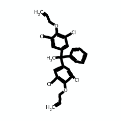 C=CCOc1c(Cl)cc(C(C)(c2ccccc2)c2cc(Cl)c(OCC=C)c(Cl)c2)cc1Cl